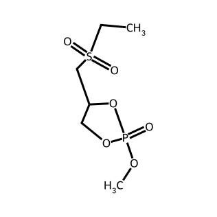 CCS(=O)(=O)CC1COP(=O)(OC)O1